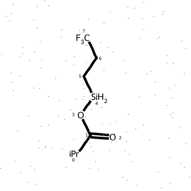 CC(C)C(=O)O[SiH2]CCC(F)(F)F